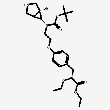 CCOC(=O)[C@H](Cc1ccc(OCCN(C(=O)OC(C)(C)C)[C@@H]2C3CNC[C@H]32)cc1)OCC